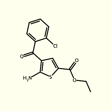 CCOC(=O)c1cc(C(=O)c2ccccc2Cl)c(N)s1